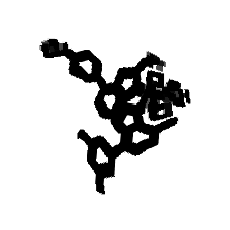 CC1=Cc2c(-c3cc(C)cc(C)c3)ccc(C)c2[CH]1[Zr]([Cl])([Cl])([CH]1C(C(C)C)=Cc2c(-c3ccc(C(C)(C)C)cc3)cccc21)[SiH](C)C